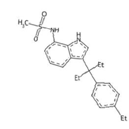 CCc1ccc(C(CC)(CC)c2c[nH]c3c(NS(C)(=O)=O)cccc23)cc1